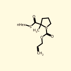 C=CCOC(=O)N1CCCC1(C)C(=O)SCCCCCC